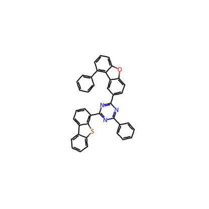 c1ccc(-c2nc(-c3ccc4oc5cccc(-c6ccccc6)c5c4c3)nc(-c3cccc4c3sc3ccccc34)n2)cc1